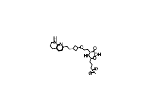 CS(=O)(=O)CCCC(=O)NC(CCO[C@H]1C[C@H](CCc2ccc3c(n2)NCCC3)C1)C(=O)O